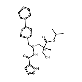 CC(C)OC(=O)[C@](C)(CO)C[C@@H](Cc1ccc(-c2ccccc2)cc1)NC(=O)c1cnn[nH]1